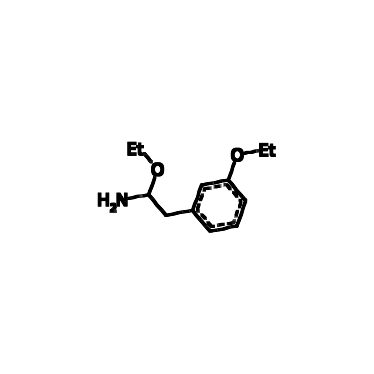 CCOc1cccc(CC(N)OCC)c1